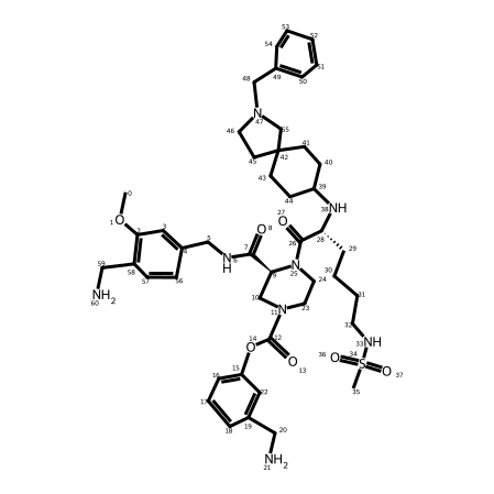 COc1cc(CNC(=O)[C@@H]2CN(C(=O)Oc3cccc(CN)c3)CCN2C(=O)[C@@H](CCCCNS(C)(=O)=O)NC2CCC3(CC2)CCN(Cc2ccccc2)C3)ccc1CN